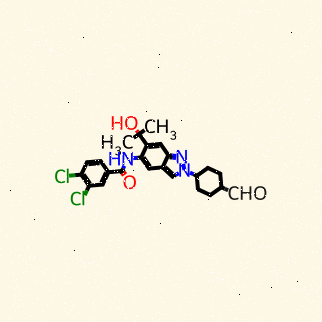 CC(C)(O)c1cc2nn(C3CCC(C=O)CC3)cc2cc1NC(=O)c1ccc(Cl)c(Cl)c1